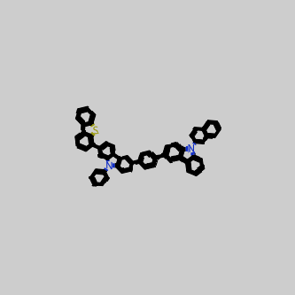 c1ccc(-n2c3ccc(-c4ccc(-c5ccc6c(c5)c5ccccc5n6-c5ccc6ccccc6c5)cc4)cc3c3ccc(-c4cccc5c4sc4ccccc45)cc32)cc1